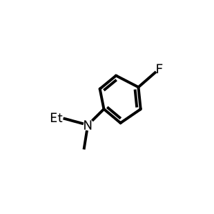 CCN(C)c1ccc(F)cc1